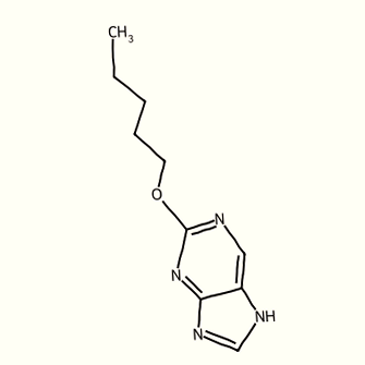 CCCCCOc1ncc2[nH]cnc2n1